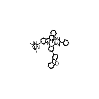 Cc1nc(C)nc(-c2ccc3c4ccccc4n(-c4ccc(-c5ccc6oc7ccccc7c6c5)cc4-c4nc(-c5ccccc5)nc(-c5ccccc5)n4)c3c2)n1